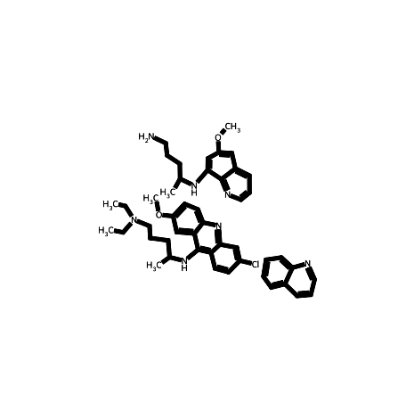 CCN(CC)CCCC(C)Nc1c2ccc(Cl)cc2nc2ccc(OC)cc12.COc1cc(NC(C)CCCN)c2ncccc2c1.c1ccc2ncccc2c1